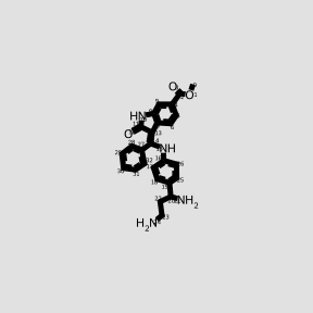 COC(=O)c1ccc2c(c1)NC(=O)C2=C(Nc1ccc(C(N)CCN)cc1)c1ccccc1